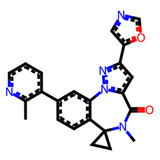 Cc1ncccc1-c1ccc2c(c1)-n1nc(-c3cnco3)cc1C(=O)N(C)C21CC1